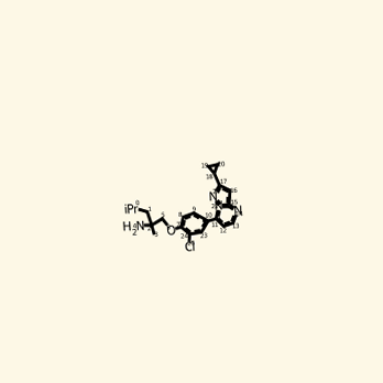 CC(C)CC(C)(N)COc1ccc(-c2ccnc3cc(C4CC4)nn23)cc1Cl